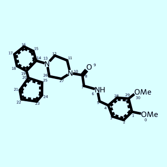 COc1ccc(CNCC(=O)N2CCN(c3ccccc3-c3ccccc3)CC2)cc1OC